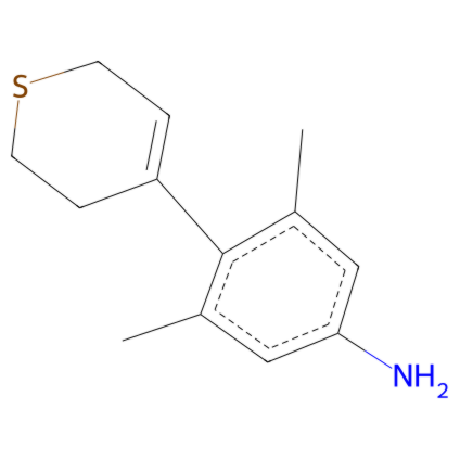 Cc1cc(N)cc(C)c1C1=CCSCC1